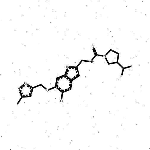 Cc1cc(COc2cc3[nH]c(CNC(=O)N4CCC(C(F)F)C4)cc3cc2Cl)on1